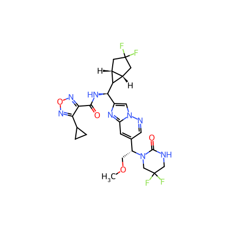 COC[C@H](c1cnn2cc([C@@H](NC(=O)c3nonc3C3CC3)C3[C@H]4CC(F)(F)C[C@@H]34)nc2c1)N1CC(F)(F)CNC1=O